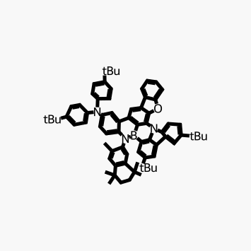 Cc1cc2c(cc1N1B3c4c(cc5c(oc6ccccc65)c4-n4c5ccc(C(C)(C)C)cc5c5cc(C(C)(C)C)cc3c54)-c3cc(N(c4ccc(C(C)(C)C)cc4)c4ccc(C(C)(C)C)cc4)ccc31)C(C)(C)CCC2(C)C